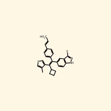 Cc1cscc1/C(=C(\c1ccc(/C=C/C(=O)O)cc1)c1ccc2[nH]nc(F)c2c1)C1CCC1